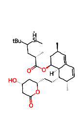 C[C@H]1C=C2C=C[C@H](C)[C@H](CC[C@H]3C[C@@H](O)CC(=O)O3)[C@H]2[C@@H](OC(=O)[C@@H](C)CC([SiH](C)C)C(C)(C)C)C1